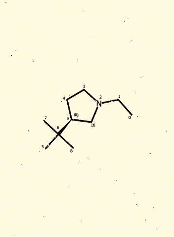 CCN1CC[C@H](C(C)(C)C)C1